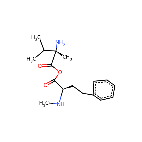 CN[C@H](CCc1ccccc1)C(=O)OC(=O)[C@@](C)(N)C(C)C